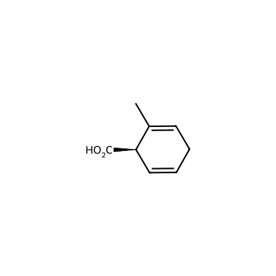 CC1=CCC=C[C@H]1C(=O)O